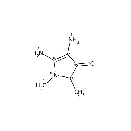 CC1C(=O)C(N)=C(N)N1C